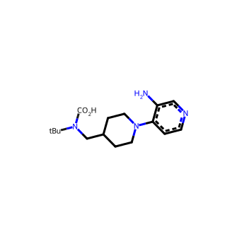 CC(C)(C)N(CC1CCN(c2ccncc2N)CC1)C(=O)O